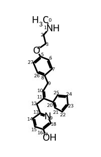 CNCCOc1ccc(CC=C(Cc2ccc(O)cn2)c2ccccc2)cc1